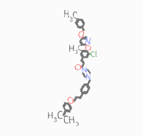 Cc1ccc(COc2ccc(Oc3c(C)cc(/C=C/C(=O)N4CCN(Cc5ccc(CCCOc6ccc(C(C)C)cc6)cc5)CC4)cc3Cl)nc2)cc1